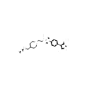 Cc1noc(C)c1-c1ccc(S(=O)(=O)NCCN2CCC(CN=[N+]=[N-])CC2)cc1